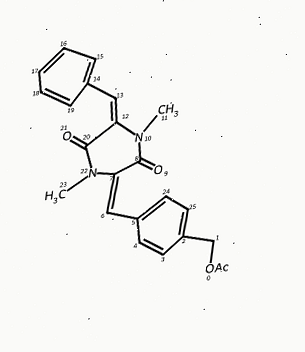 CC(=O)OCc1ccc(C=c2c(=O)n(C)c(=Cc3ccccc3)c(=O)n2C)cc1